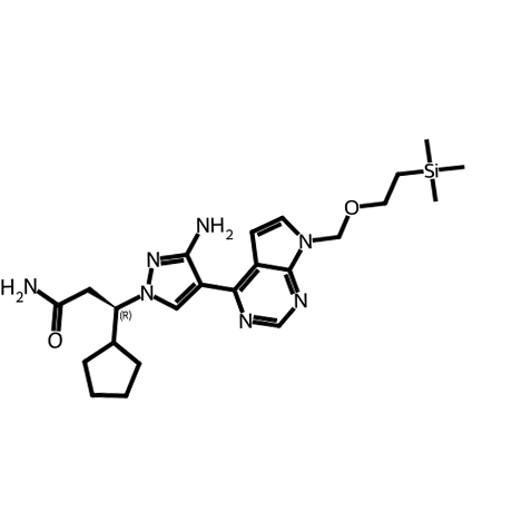 C[Si](C)(C)CCOCn1ccc2c(-c3cn([C@H](CC(N)=O)C4CCCC4)nc3N)ncnc21